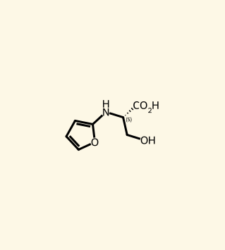 O=C(O)[C@H](CO)Nc1ccco1